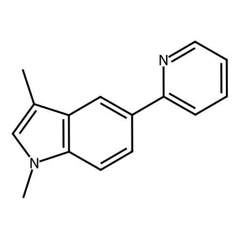 Cc1cn(C)c2ccc(-c3ccccn3)cc12